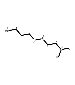 CC(=O)CCCSSCCN(C)C